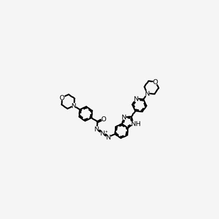 O=C(N=[N+]=Nc1ccc2[nH]c(-c3ccc(N4CCOCC4)nc3)nc2c1)c1ccc(N2CCOCC2)cc1